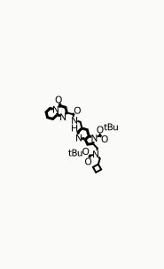 CC(C)(C)OC(=O)N(Cc1cc2ncc(CNC(=O)c3cc(=O)n4ccccc4n3)cc2n1C(=O)OC(C)(C)C)CC1CCC1